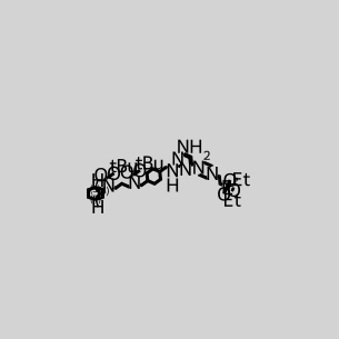 CCOP(=O)(CCN1CCN(c2cc(N)nc(NCC3CCC(CN(CCCN(C(=O)OC(C)(C)C)[C@H]4C[C@@H]5CC[C@H]4C5)C(=O)OC(C)(C)C)CC3)n2)CC1)OCC